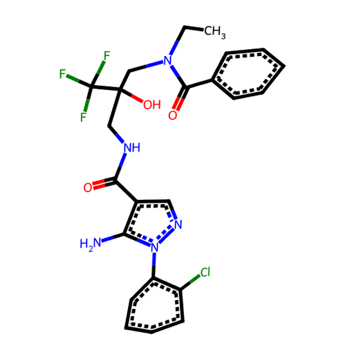 CCN(CC(O)(CNC(=O)c1cnn(-c2ccccc2Cl)c1N)C(F)(F)F)C(=O)c1ccccc1